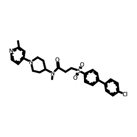 Cc1cc(N2CCC(N(C)C(=O)CCS(=O)(=O)c3ccc(-c4ccc(Cl)cc4)cc3)CC2)ccn1